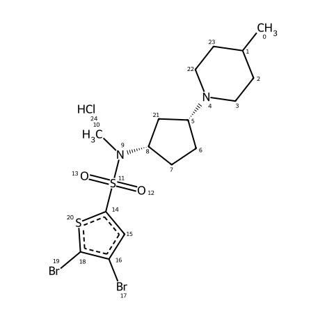 CC1CCN([C@@H]2CC[C@H](N(C)S(=O)(=O)c3cc(Br)c(Br)s3)C2)CC1.Cl